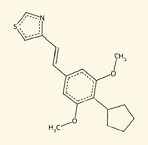 COc1cc(/C=C/c2cscn2)cc(OC)c1C1CCCC1